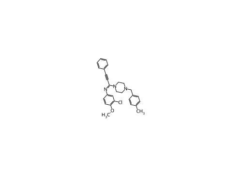 COc1ccc(/N=C(/C#Cc2ccccc2)N2CCN(Cc3ccc(C)cc3)CC2)cc1Cl